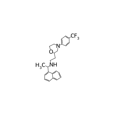 CC(NCCC1CN(c2ccc(C(F)(F)F)cc2)CCO1)c1cccc2ccccc12